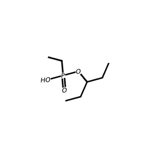 CCC(CC)OP(=O)(O)CC